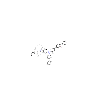 C=C1CCCCC/C(c2ccccc2)=C2/CCCC/C2=C/1c1ccc(N(c2ccc(-c3ccccc3)cc2)c2ccc(-c3ccc4c(c3)oc3ccccc34)cc2)cc1